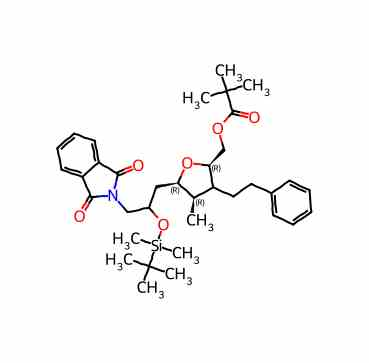 C[C@@H]1C(CCc2ccccc2)[C@H](COC(=O)C(C)(C)C)O[C@@H]1CC(CN1C(=O)c2ccccc2C1=O)O[Si](C)(C)C(C)(C)C